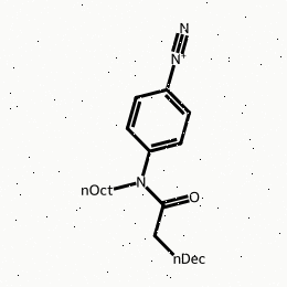 CCCCCCCCCCCC(=O)N(CCCCCCCC)c1ccc([N+]#N)cc1